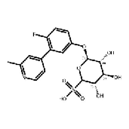 Cc1cc(-c2cc(O[C@@H]3OC(S(=O)(=O)O)[C@@H](O)[C@H](O)[C@H]3O)ccc2F)ccn1